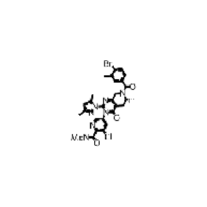 CNC(=O)c1ncc(-n2c(-n3nc(C)cc3C)nc3c(c2=O)C[C@@H](C)N(C(=O)c2ccc(Br)c(C)c2)C3)cc1Cl